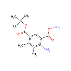 Cc1c(C(=O)OC(C)(C)C)cc(C(=O)ON)c(N)c1C